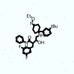 CCON=C1CCC(NCC(O)C(Cc2cc(F)cc(F)c2)C(=O)Nc2ccccc2)(c2cccc(C(C)(C)C)c2)CC1